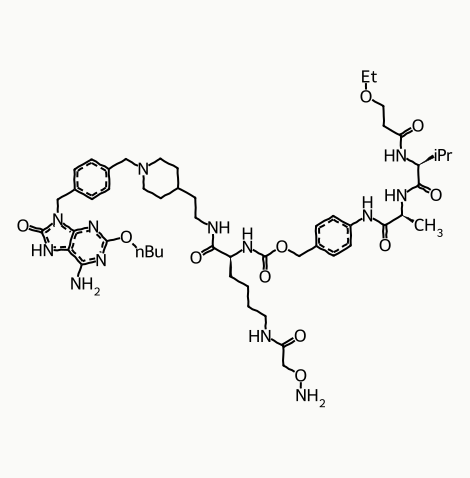 CCCCOc1nc(N)c2[nH]c(=O)n(Cc3ccc(CN4CCC(CCNC(=O)[C@H](CCCCNC(=O)CON)NC(=O)OCc5ccc(NC(=O)[C@H](C)NC(=O)[C@@H](NC(=O)CCOCC)C(C)C)cc5)CC4)cc3)c2n1